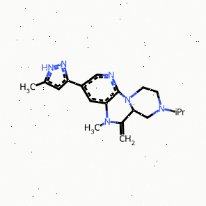 C=C1C2CN(C(C)C)CCN2c2ncc(-c3cc(C)[nH]n3)cc2N1C